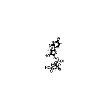 C[C@@]1(O)[C@H](O)[C@@H](COP(=O)(O)OP(=O)(O)OP(=O)(O)O)S[C@H]1n1ccc(=O)[nH]c1=O